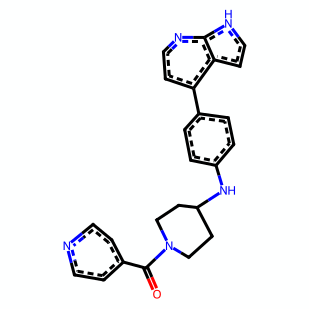 O=C(c1ccncc1)N1CCC(Nc2ccc(-c3ccnc4[nH]ccc34)cc2)CC1